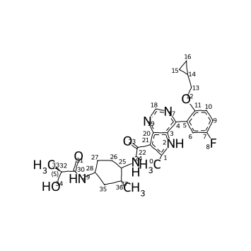 Cc1[nH]c2c(-c3cc(F)ccc3OCC3CC3)ncnc2c1C(=O)NC1CCC(NC(=O)[C@H](C)O)CC1C